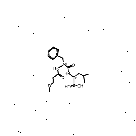 COCCC(=O)N[C@@H](Cc1ccccc1)C(=O)N[C@@H](CC(C)C)B(O)O